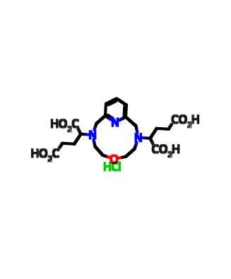 Cl.O=C(O)CCC(C(=O)O)N1CCOCCN(C(CCC(=O)O)C(=O)O)Cc2cccc(n2)C1